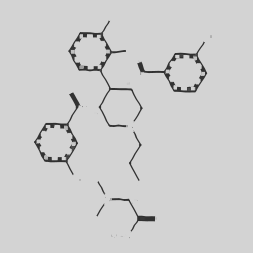 CNC(=O)[C@@H](CCCN1C[C@H](C(=O)c2cccc(O)c2)C(c2cccc(F)c2C)[C@H](C(=O)c2cccc(O)c2)C1)N(C)C